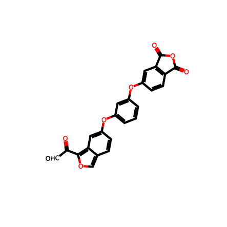 O=CC(=O)c1occ2ccc(Oc3cccc(Oc4ccc5c(c4)C(=O)OC5=O)c3)cc12